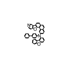 c1ccc(-c2ccc(N(c3ccc4ccc5ccc6c7cnccc7oc6c5c4c3)c3cccc4oc5ccccc5c34)cc2)cc1